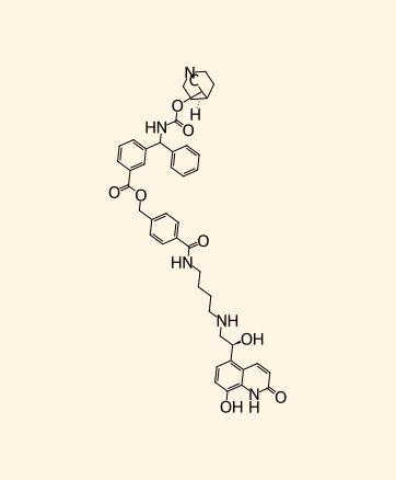 O=C(NC(c1ccccc1)c1cccc(C(=O)OCc2ccc(C(=O)NCCCCNC[C@@H](O)c3ccc(O)c4[nH]c(=O)ccc34)cc2)c1)O[C@H]1CN2CCC1CC2